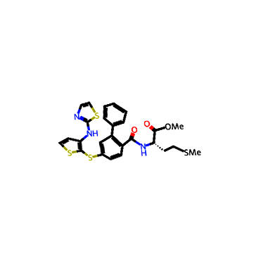 COC(=O)[C@H](CCSC)NC(=O)c1ccc(Sc2sccc2Nc2nccs2)cc1-c1ccccc1